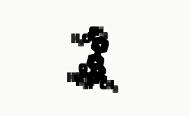 CCC1(CC)Cc2cc(-c3cccc(N(C)C)c3)ccc2C1NC(=O)O